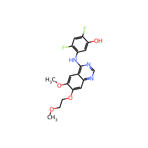 COCCOc1cc2ncnc(Nc3cc(O)c(F)cc3F)c2cc1OC